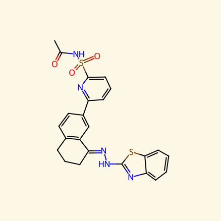 CC(=O)NS(=O)(=O)c1cccc(-c2ccc3c(c2)/C(=N/Nc2nc4ccccc4s2)CCC3)n1